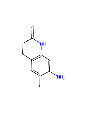 Cc1cc2c(cc1N)NC(=O)CC2